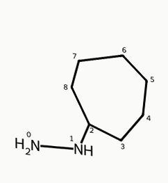 NNC1CCCCCC1